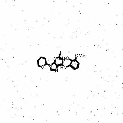 COc1cccc(Nc2nc(I)nc3c2ncn3C2CCCCO2)c1OC